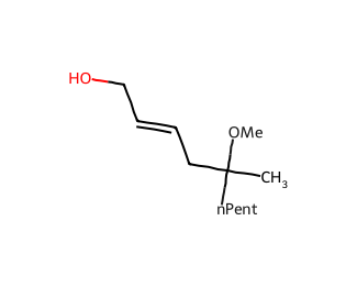 CCCCCC(C)(CC=CCO)OC